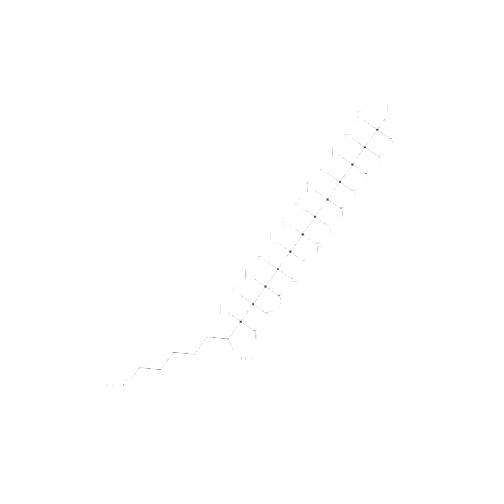 CCCCCCC(O)C(F)(F)C(F)(F)C(F)(F)C(F)(F)C(F)(F)C(F)(F)C(F)(F)C(F)(F)C(F)(F)C(F)(F)C(F)(F)C(F)(F)F